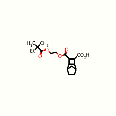 CCC(C)(C)C(=O)OCCOC(=O)C1=C(C(=O)O)C2C3CCC(C3)C12